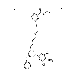 CCOC(=O)c1cc(C#CCOCCCCCCN(Cc2ccccc2)CC(O)c2cc(Cl)c(N)c(Cl)c2)ccn1